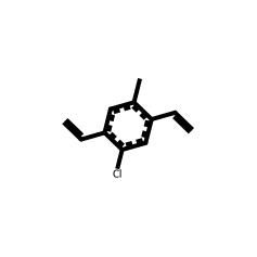 C=Cc1cc(Cl)c(C=C)cc1C